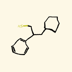 SCC(CC1CCCCC1)c1ccccc1